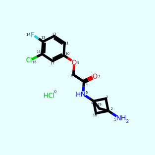 Cl.NC12CC(NC(=O)COc3ccc(F)c(Cl)c3)(C1)C2